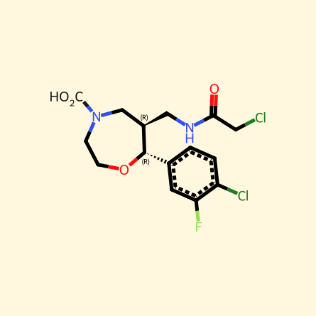 O=C(CCl)NC[C@@H]1CN(C(=O)O)CCO[C@H]1c1ccc(Cl)c(F)c1